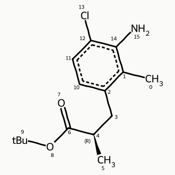 Cc1c(C[C@@H](C)C(=O)OC(C)(C)C)ccc(Cl)c1N